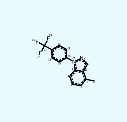 Cc1cccc2c1cnn2-c1ccc(C(F)(F)F)cc1